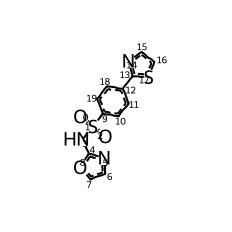 O=S(=O)(Nc1ncco1)c1ccc(-c2nccs2)cc1